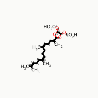 C=C(CCC=C(C)CCC=C(C)CCC=C(C)C)C1O[C@H](OC(=O)O)[C@@H](OC(=O)O)O1